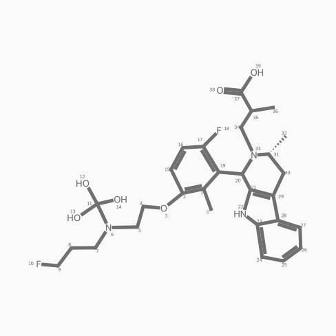 Cc1c(OCCN(CCCF)C(O)(O)O)ccc(F)c1C1c2[nH]c3ccccc3c2C[C@@H](C)N1CC(C)C(=O)O